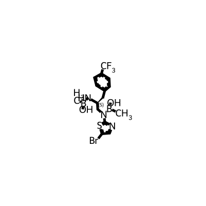 CB(O)N[C@@H](Cc1ccc(C(F)(F)F)cc1)CN(B(C)O)c1ncc(Br)s1